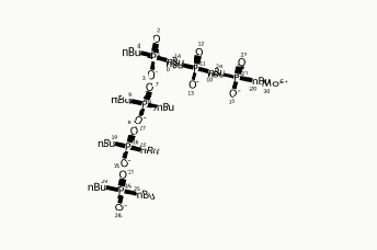 CCCCP(=O)([O-])CCCC.CCCCP(=O)([O-])CCCC.CCCCP(=O)([O-])CCCC.CCCCP(=O)([O-])CCCC.CCCCP(=O)([O-])CCCC.CCCCP(=O)([O-])CCCC.[Mo+6]